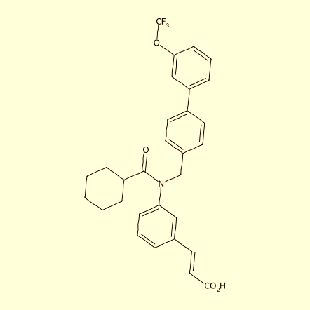 O=C(O)C=Cc1cccc(N(Cc2ccc(-c3cccc(OC(F)(F)F)c3)cc2)C(=O)C2CCCCC2)c1